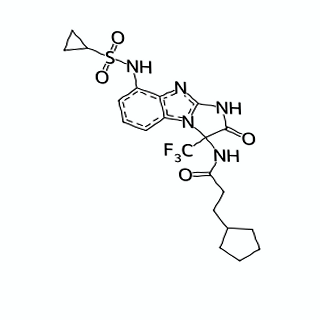 O=C(CCC1CCCC1)NC1(C(F)(F)F)C(=O)Nc2nc3c(NS(=O)(=O)C4CC4)cccc3n21